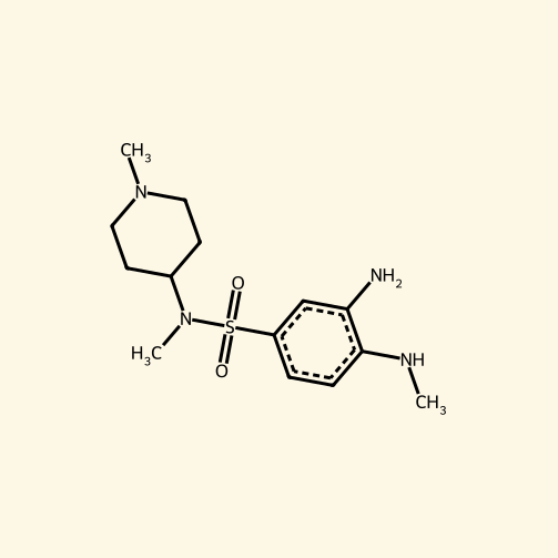 CNc1ccc(S(=O)(=O)N(C)C2CCN(C)CC2)cc1N